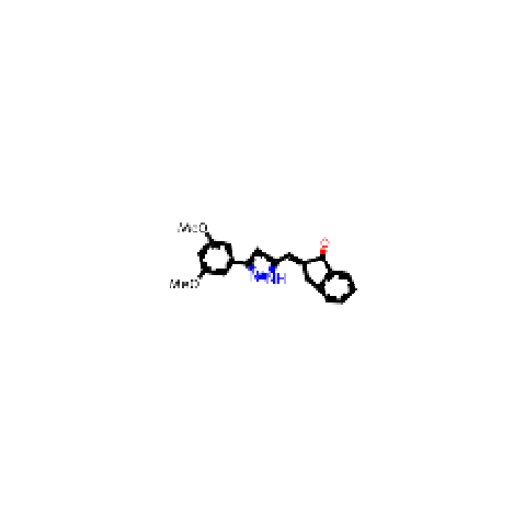 COc1cc(OC)cc(-c2cc(/C=C3\Cc4ccccc4C3=O)[nH]n2)c1